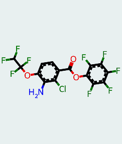 Nc1c(OC(F)(F)C(F)F)ccc(C(=O)Oc2c(F)c(F)c(F)c(F)c2F)c1Cl